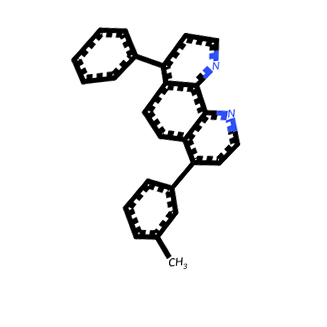 Cc1cccc(-c2ccnc3c2ccc2c(-c4ccccc4)ccnc23)c1